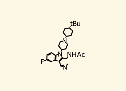 C/N=C\c1c(CNC(C)=O)n(C2CCN([C@H]3CC[C@@H](C(C)(C)C)CC3)CC2)c2ccc(F)cc12